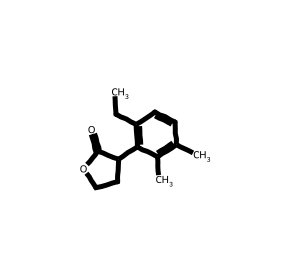 CCc1ccc(C)c(C)c1C1CCOC1=O